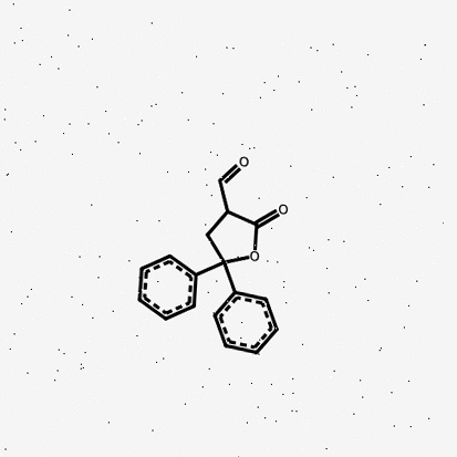 O=CC1CC(c2ccccc2)(c2ccccc2)OC1=O